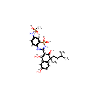 CC(C)CCC1(C)C(=O)C(C2=NS(=O)(=O)c3cc(NS(C)(=O)=O)ccc3N2)=C(O)c2cc(O)ccc21